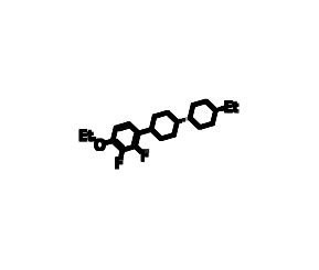 CCOc1ccc(C2CCC([C@H]3CC[C@H](CC)CC3)CC2)c(F)c1F